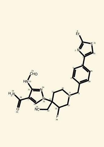 CCc1nc(-c2ccc(CN3CCC(CC#N)(n4cc(C(N)=O)c(NC=O)n4)C(F)C3)cc2)cs1